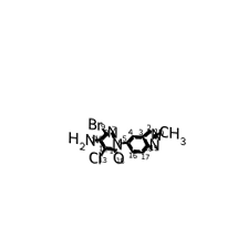 Cn1cc2cc(-n3nc(Br)c(N)c(Cl)c3=O)ccc2n1